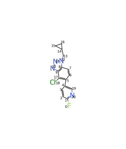 Fc1ccc(-c2ccc3c(nnn3CC3CC3)c2Cl)cn1